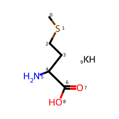 CSCCC(N)C(=O)O.[KH]